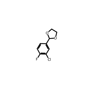 Fc1ccc(C2OCCO2)cc1Cl